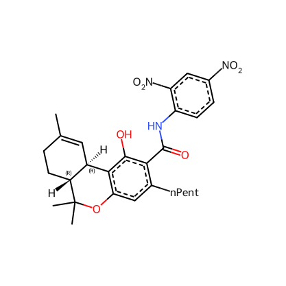 CCCCCc1cc2c(c(O)c1C(=O)Nc1ccc([N+](=O)[O-])cc1[N+](=O)[O-])[C@@H]1C=C(C)CC[C@H]1C(C)(C)O2